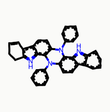 C1=Cc2c([nH]c3c4c(ccc23)N(c2ccccc2)c2c(ccc3c2[nH]c2ccccc23)N4c2ccccc2)CC1